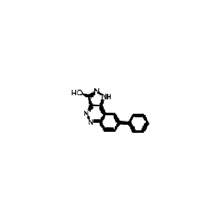 Oc1n[nH]c2c1nnc1ccc(-c3ccccc3)cc12